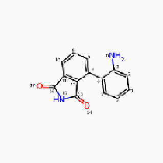 Nc1ccccc1-c1cccc2c1C(=O)NC2=O